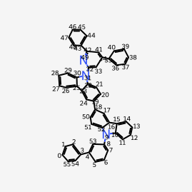 c1ccc(-c2cccc(-n3c4ccccc4c4cc(-c5ccc6c(c5)c5ccccc5n6-c5cc(-c6ccccc6)cc(-c6ccccc6)n5)ccc43)c2)cc1